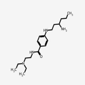 CCCC(N)CCNc1ccc(C(=O)NCCN(CC)CC)cc1